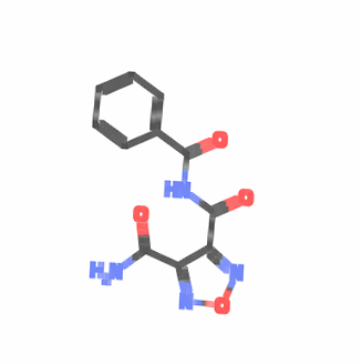 NC(=O)c1nonc1C(=O)NC(=O)c1ccccc1